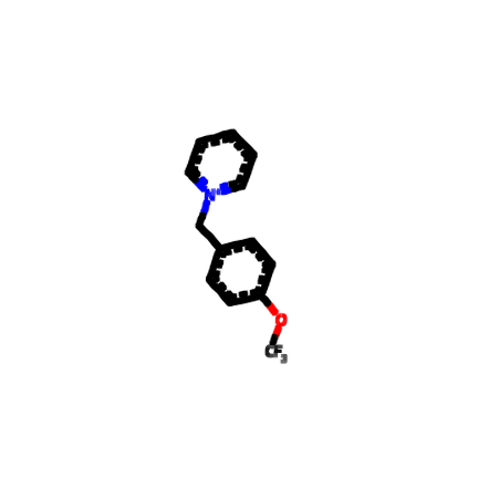 FC(F)(F)Oc1ccc(C[n+]2ccccc2)cc1